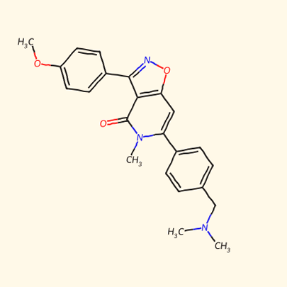 COc1ccc(-c2noc3cc(-c4ccc(CN(C)C)cc4)n(C)c(=O)c23)cc1